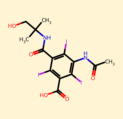 CC(=O)Nc1c(I)c(C(=O)O)c(I)c(C(=O)NC(C)(C)CO)c1I